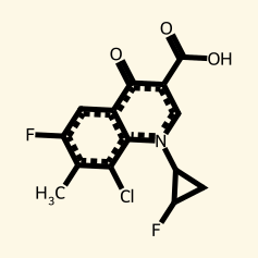 Cc1c(F)cc2c(=O)c(C(=O)O)cn(C3CC3F)c2c1Cl